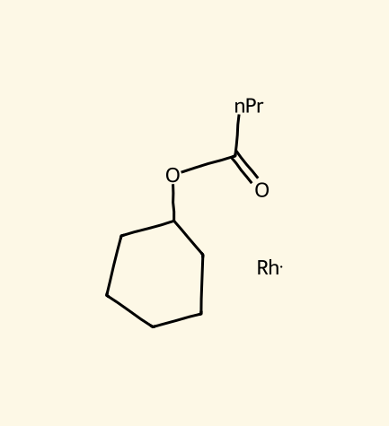 CCCC(=O)OC1CCCCC1.[Rh]